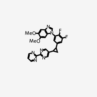 COc1cc2ncn(-c3cc(C4CC4c4cnc(-c5ncccn5)nc4)cc(F)c3F)c2cc1OC